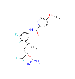 COc1ccc(C(=O)Nc2cc(F)c(F)c([C@H](C)C[C@H](OC(=N)N)C(F)F)c2)nc1